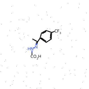 CC(=NNC(=O)O)c1ccc(C(F)(F)F)cc1